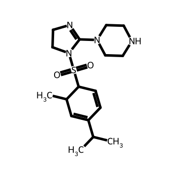 CC(C)C1=CC(C)C(S(=O)(=O)N2CCN=C2N2CCNCC2)C=C1